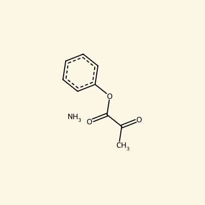 CC(=O)C(=O)Oc1ccccc1.N